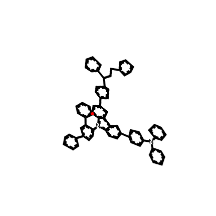 c1ccc(CCC(c2ccccc2)c2ccc(-c3ccc4c(c3)c3cc(-c5ccc(N(c6ccccc6)c6ccccc6)cc5)ccc3n4-c3ccc(-c4ccccc4)cc3-c3ccccc3)cc2)cc1